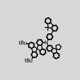 CC(C)(C)c1ccc2c(c1)-c1cc(C(C)(C)C)ccc1C21c2ccccc2-c2c(N(c3ccc(-c4cccc5c4C(C)(C)c4ccccc4-5)cc3)c3ccc4c(c3)C3(CCCC3)c3ccccc3-4)cccc21